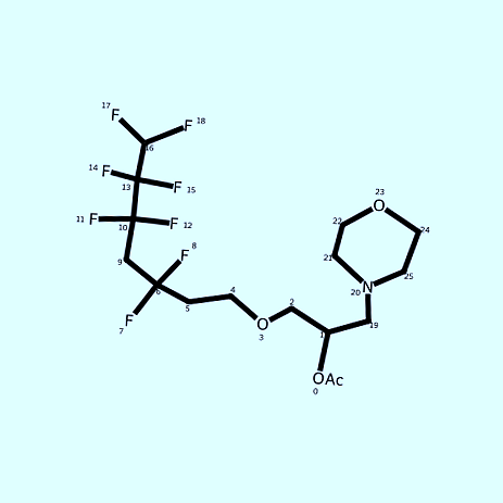 CC(=O)OC(COCCC(F)(F)CC(F)(F)C(F)(F)C(F)F)CN1CCOCC1